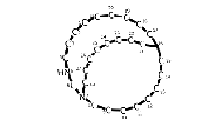 C1CCCCNCN2CCCCCCCCC(CCCC1)CCCCCCCC2